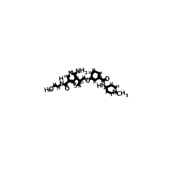 CN1CCC(NC(=O)c2cccc(OCc3csc4c(C(=O)NCCO)cnc(N)c34)c2)CC1